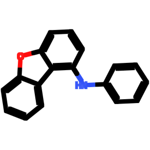 c1ccc(Nc2cccc3oc4ccccc4c23)cc1